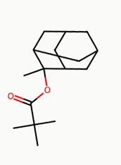 CC(C)(C)C(=O)OC1(C)C2CC3CC(C2)CC1C3